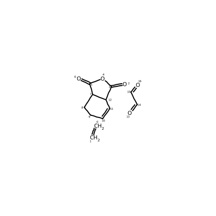 C=C.O=C1OC(=O)C2CCC=CC12.O=CC=O